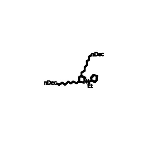 CCCCCCCCCCCCCCCCCc1cc(CCCCCCCCCCCCCCCCC)c[n+](C(CC)c2ccccc2)c1